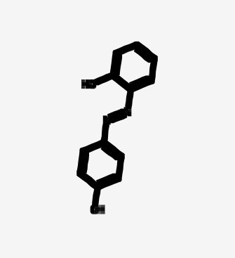 Oc1ccc(N=Nc2ccccc2O)cc1